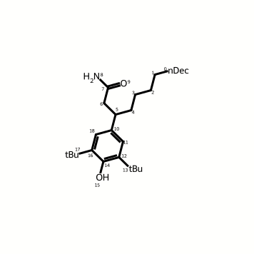 CCCCCCCCCCCCCCC(CC(N)=O)c1cc(C(C)(C)C)c(O)c(C(C)(C)C)c1